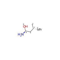 CCC[C@@H](C)C[C@@H](N)O